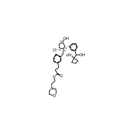 CCCC1(C(O)c2cccc([C@@H]3[C@@H](Cc4cccc(CCC(=O)OCCN5CCOCC5)c4)[C@H](Cl)C[C@H]3O)c2)CCC1